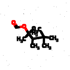 CC(C(C)(C)C)C(C)(C)OC=O